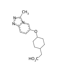 Cc1nnc2ccc(OC3CCC(CC(=O)O)CC3)cn12